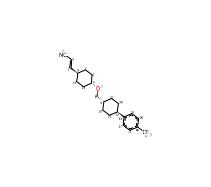 N#CC=C[C@H]1CC[C@H](OC[C@H]2CC[C@H](c3ccc(C(F)(F)F)cc3)CC2)CC1